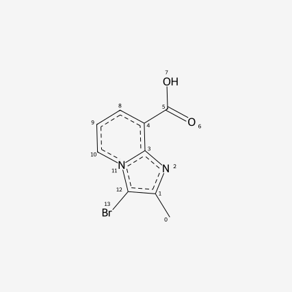 Cc1nc2c(C(=O)O)cccn2c1Br